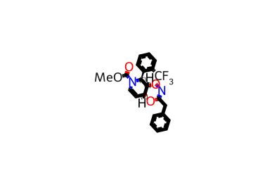 COC(=O)N1C=C[C@H]2OC(Cc3ccccc3)=NO[C@H]2[C@@H]1c1ccccc1C(F)(F)F